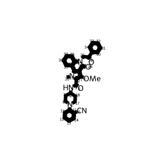 COc1c(C(=O)NC2CCN(c3ccccc3C#N)CC2)n(C)c2c1c(=O)n(CC(=O)c1ccccc1)c1ccccc21